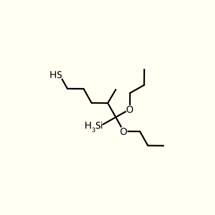 CCCOC([SiH3])(OCCC)C(C)CCCS